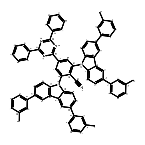 Cc1cccc(-c2ccc3c(c2)c2cc(-c4cccc(C)c4)ccc2n3-c2cc(-c3nc(-c4ccccc4)nc(-c4ccccc4)n3)cc(-n3c4ccc(-c5cccc(C)c5)cc4c4cc(-c5cccc(C)c5)ccc43)c2C#N)c1